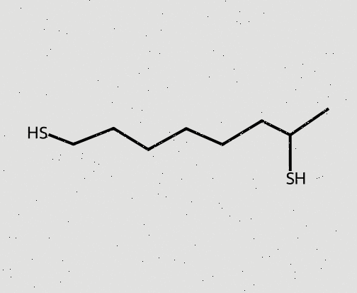 CC(S)CCCCCCS